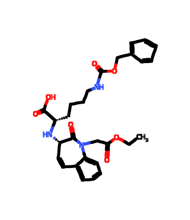 CCOC(=O)CN1C(=O)[C@@H](N[C@@H](CCCCNC(=O)OCc2ccccc2)C(=O)O)C=Cc2ccccc21